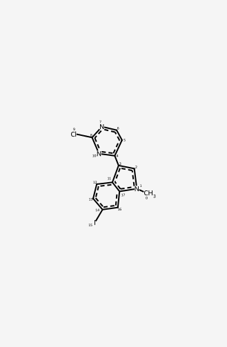 Cn1cc(-c2ccnc(Cl)n2)c2ccc(I)cc21